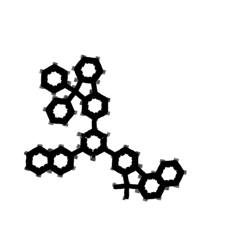 CC1(C)c2cc(-c3nc(-c4ccc5c(c4)C(c4ccccc4)(c4ccccc4)c4ccccc4-5)nc(-c4ccc5ccccc5c4)n3)ccc2-c2c1ccc1ccccc21